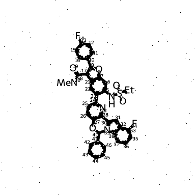 CCS(=O)(=O)Nc1cc2oc(-c3ccc(F)cc3)c(C(=O)NC)c2cc1-c1ccc2c(n1)-c1cc3c(F)cccc3n1C(c1ccccc1)O2